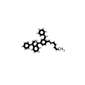 C/C=C\C=C/C/C=c1\ccc(-c2ncc(-c3ccccc3)c3ccccc23)c\c1=C/c1ccccc1